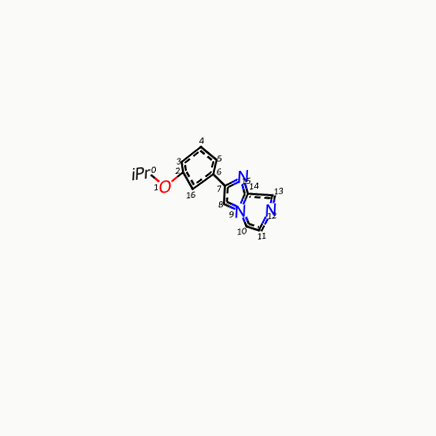 CC(C)Oc1cccc(-c2cn3ccncc3n2)c1